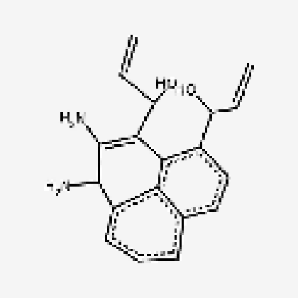 C=CC(O)C1=C(N)C(N)c2cccc3ccc(C(O)C=C)c1c23